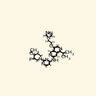 CO[C@@H]1CCN(c2nccc(Nc3cc4c(C(C)C)ncc(OCCn5cnnc5)c4cn3)n2)C[C@@H]1F